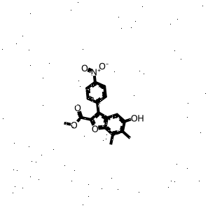 COC(=O)c1oc2c(C)c(C)c(O)cc2c1-c1ccc([N+](=O)[O-])cc1